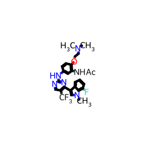 CC(=O)Nc1cc(Nc2ncc(C(F)(F)F)c(-c3cn(C)c4c(F)cccc34)n2)ccc1OCCN(C)C